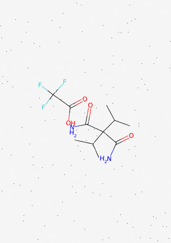 CC(C)C(C(N)=O)(C(N)=O)C(C)C.O=C(O)C(F)(F)F